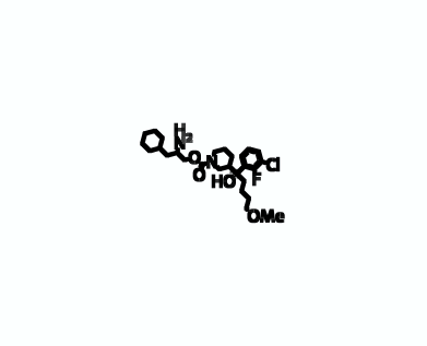 COCCCC[C@@](O)(c1cccc(Cl)c1F)C1CCCN(C(=O)OCC(N)CC2CCCCC2)C1